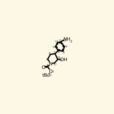 CC(C)(C)OC(=O)N1CCC(c2ccc(N)cc2)C(O)C1